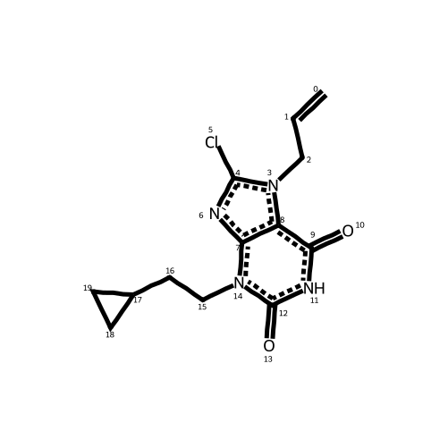 C=CCn1c(Cl)nc2c1c(=O)[nH]c(=O)n2CCC1CC1